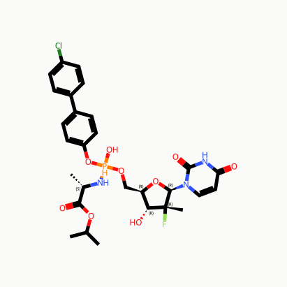 CC(C)OC(=O)[C@H](C)N[PH](O)(OC[C@H]1O[C@@H](n2ccc(=O)[nH]c2=O)[C@](C)(F)[C@@H]1O)Oc1ccc(-c2ccc(Cl)cc2)cc1